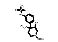 CCCCCCN1CCC(C)(c2cccc(NS(C)(=O)=O)c2)C(C)C1.Cl